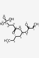 C=CC(=O)OC(CCCC)OC(=O)CCP(=O)(O)O